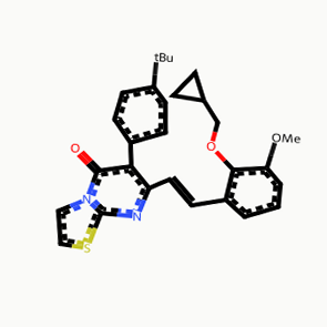 COc1cccc(C=Cc2nc3sccn3c(=O)c2-c2ccc(C(C)(C)C)cc2)c1OCC1CC1